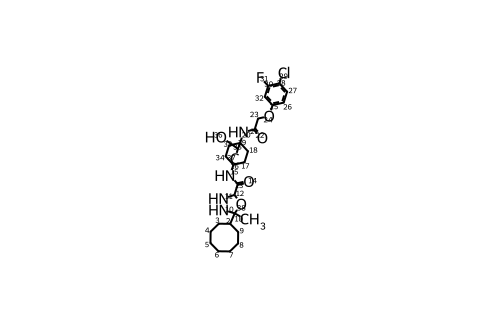 CC1(C2CCCCCCC2)NNC(C(=O)NC23CCC(NC(=O)COc4ccc(Cl)c(F)c4)(CC2)C(O)C3)O1